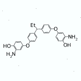 CCC(c1ccc(Oc2ccc(O)c(N)c2)cc1)c1ccc(Oc2ccc(O)c(N)c2)cc1